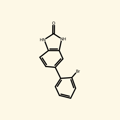 O=c1[nH]c2ccc(-c3ccccc3Br)cc2[nH]1